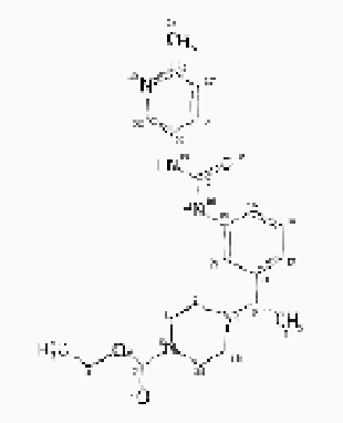 CCOC(=O)N1CCN([C@@H](C)c2cccc(NC(=O)Nc3ccc(C)nc3)c2)CC1